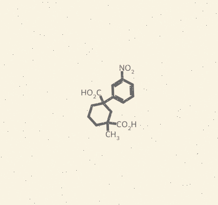 CC1(C(=O)O)CCCC(C(=O)O)(c2cccc([N+](=O)[O-])c2)C1